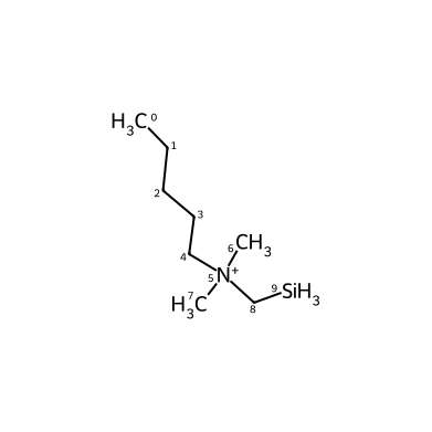 CCCCC[N+](C)(C)C[SiH3]